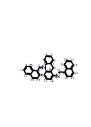 C(=N\c1ccccc1Cc1ccccc1/N=C/c1cccc2ccccc12)/c1cccc2ccccc12